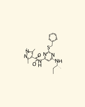 CC[C@@H](C)Nc1cc(NS(=O)(=O)c2c(C)nn(C)c2C)nc(SCc2ccccc2)n1